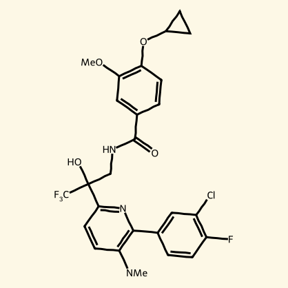 CNc1ccc(C(O)(CNC(=O)c2ccc(OC3CC3)c(OC)c2)C(F)(F)F)nc1-c1ccc(F)c(Cl)c1